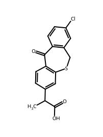 CC(C(=O)O)c1ccc2c(c1)SCc1cc(Cl)ccc1C2=O